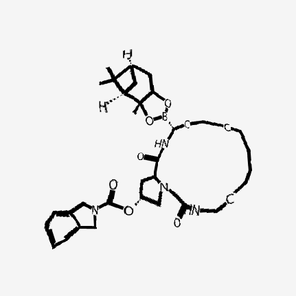 CC1(C)[C@H]2CC3OB([C@@H]4CCCCCCCCCNC(=O)N5C[C@H](OC(=O)N6Cc7ccccc7C6)CC5C(=O)N4)O[C@]3(C)[C@@H]1C2